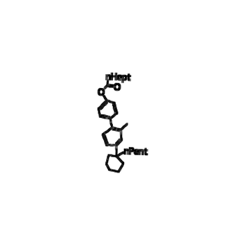 CCCCCCCC(=O)Oc1ccc(-c2ccc(C3(CCCCC)CCCCC3)cc2C)cc1